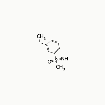 CCc1cccc(S(C)(=N)=O)c1